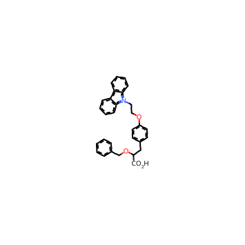 O=C(O)C(Cc1ccc(OCCn2c3ccccc3c3ccccc32)cc1)OCc1ccccc1